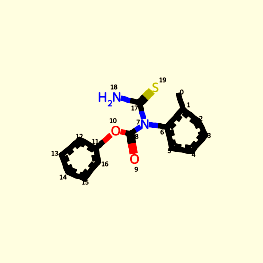 Cc1ccccc1N(C(=O)Oc1ccccc1)C(N)=S